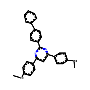 CBc1ccc(-c2cc(-c3ccc(BC)cc3)nc(-c3ccc(-c4ccccc4)cc3)n2)cc1